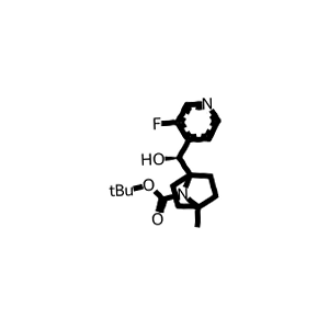 CC(C)(C)OC(=O)N1C2(C)CCC1([C@@H](O)c1ccncc1F)CC2